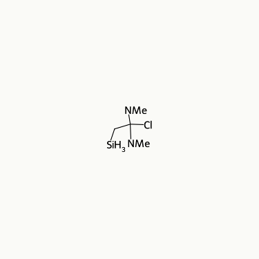 CNC(Cl)(C[SiH3])NC